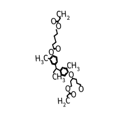 C=CC(=O)OCCCCCC(=O)Oc1ccc(C(CC)c2ccc(OC(CCC=O)CCOC(=O)C=C)c(C)c2)cc1C